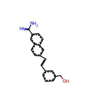 N=C(N)c1ccc2cc(/C=C/c3cccc(CO)c3)ccc2c1